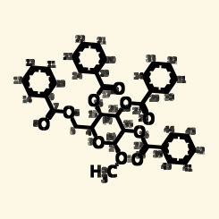 CO[C@H]1OC(COC(=O)c2ccccc2)[C@@H](OC(=O)c2ccccc2)C(OC(=O)c2ccccc2)C1OC(=O)c1ccccc1